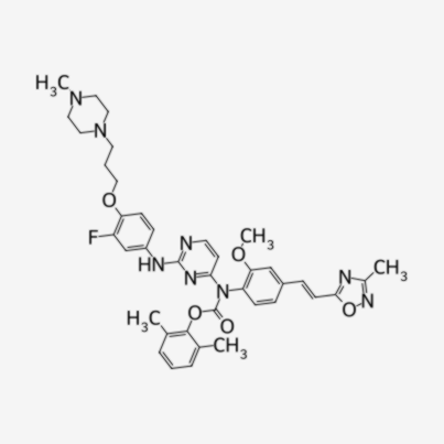 COc1cc(C=Cc2nc(C)no2)ccc1N(C(=O)Oc1c(C)cccc1C)c1ccnc(Nc2ccc(OCCCN3CCN(C)CC3)c(F)c2)n1